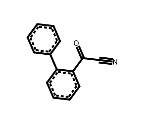 N#CC(=O)c1ccccc1-c1ccccc1